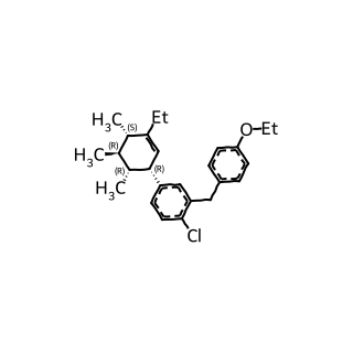 CCOc1ccc(Cc2cc([C@H]3C=C(CC)[C@@H](C)[C@H](C)[C@H]3C)ccc2Cl)cc1